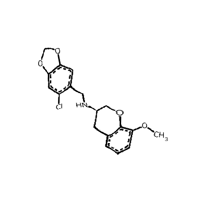 COc1cccc2c1OC[C@H](NCc1cc3c(cc1Cl)OCO3)C2